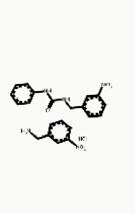 Cl.NCc1cccc([N+](=O)[O-])c1.O=C(NCc1cccc([N+](=O)[O-])c1)Nc1ccccc1